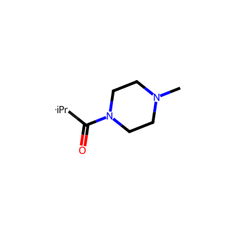 C[C](C)C(=O)N1CCN(C)CC1